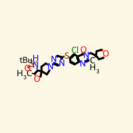 C[C@@H]1OCC2(CCN(c3cnc(Sc4ccc5ncn(CC6(C)CCOCC6)c(=O)c5c4Cl)cn3)CC2)[C@@H]1N[S+]([O-])C(C)(C)C